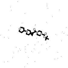 CC(C)(C)OC(=O)N1CCN(C(=O)C2CC23CCN(C2CCOCC2)CC3)CC1